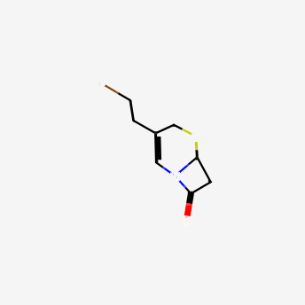 O=C1CC2SCC(CCBr)=CN12